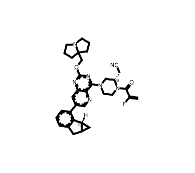 C=C(F)C(=O)N1CCN(c2nc(OCC34CCCN3CCC4)nc3cc(-c4cccc5c4[C@@H]4CC4C5)cnc23)C[C@@H]1CC#N